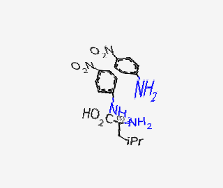 CC(C)C[C@H](N)C(=O)O.Nc1ccc([N+](=O)[O-])cc1.Nc1ccc([N+](=O)[O-])cc1